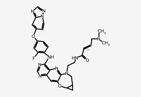 CN(C)C/C=C/C(=O)NCCN1CC2CC2Oc2cc3ncnc(Nc4ccc(Oc5ccn6ncnc6c5)cc4F)c3nc21